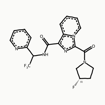 O=C(NC(c1ccccn1)C(F)(F)F)c1nc(C(=O)N2CC[C@H](F)C2)n2ccccc12